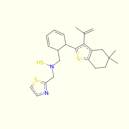 C=C(C)c1c(C2C=CC=CC2CN(S)Cc2nccs2)sc2c1CC(C)(C)CC2